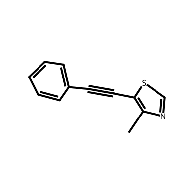 Cc1ncsc1C#Cc1ccccc1